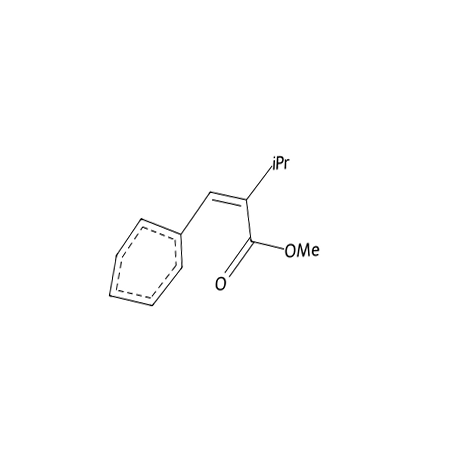 COC(=O)C(=Cc1ccccc1)C(C)C